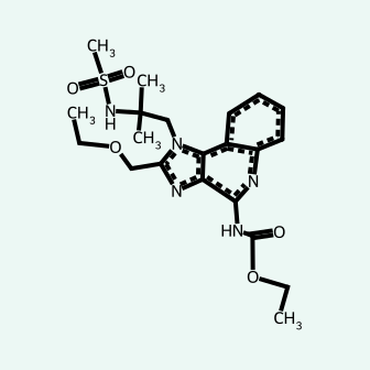 CCOCc1nc2c(NC(=O)OCC)nc3ccccc3c2n1CC(C)(C)NS(C)(=O)=O